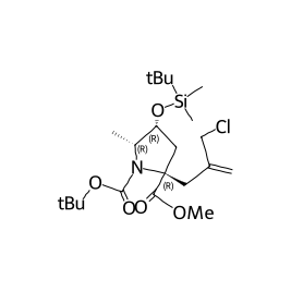 C=C(CCl)C[C@]1(C(=O)OC)C[C@@H](O[Si](C)(C)C(C)(C)C)[C@@H](C)N1C(=O)OC(C)(C)C